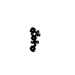 O=C(NCc1cccnc1)c1ccc2c(c1)NC(=O)c1ccccc1O2